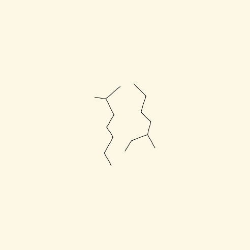 CCCCC(C)CC.CCCCCC(C)C